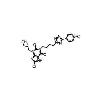 CCCCn1c(=O)n(CCCCn2nnc(-c3ccc(Cl)cc3)n2)c(=O)c2[nH]c(Cl)nc21